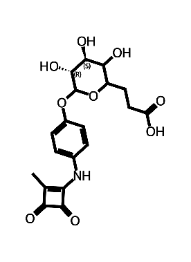 Cc1c(Nc2ccc(OC3OC(CCC(=O)O)C(O)[C@H](O)[C@H]3O)cc2)c(=O)c1=O